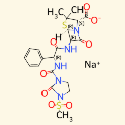 CC1(C)S[C@@H]2[C@H](NC(=O)[C@H](NC(=O)N3CCN(S(C)(=O)=O)C3=O)c3ccccc3)C(=O)N2[C@H]1C(=O)[O-].[Na+]